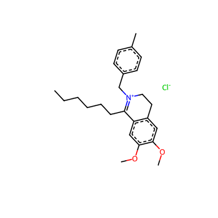 CCCCCCC1=[N+](Cc2ccc(C)cc2)CCc2cc(OC)c(OC)cc21.[Cl-]